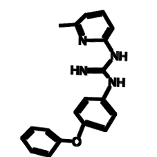 Cc1cccc(NC(=N)Nc2ccc(Oc3ccccc3)cc2)n1